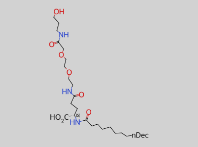 CCCCCCCCCCCCCCCCCC(=O)N[C@@H](CCC(=O)NCCOCCOCC(=O)NCCCO)C(=O)O